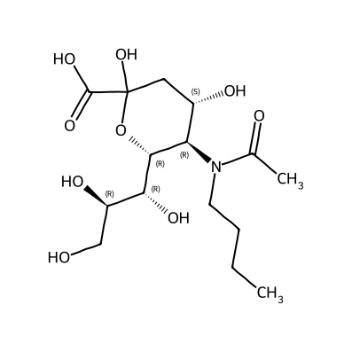 CCCCN(C(C)=O)[C@H]1[C@H]([C@H](O)[C@H](O)CO)OC(O)(C(=O)O)C[C@@H]1O